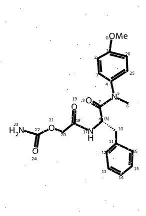 COc1ccc(N(C)C(=O)[C@H](Cc2ccccc2)NC(=O)COC(N)=O)cc1